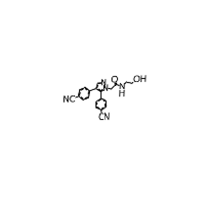 N#Cc1ccc(-c2cnn(CC(=O)NCCO)c2-c2ccc(C#N)cc2)cc1